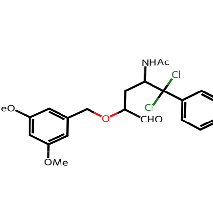 COc1cc(COC(C=O)CC(NC(C)=O)C(Cl)(Cl)c2ccccc2)cc(OC)c1